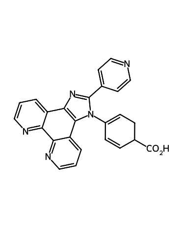 O=C(O)C1C=CC(n2c(-c3ccncc3)nc3c4cccnc4c4ncccc4c32)=CC1